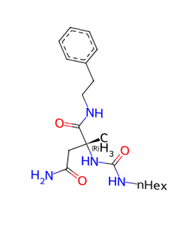 CCCCCCNC(=O)N[C@](C)(CC(N)=O)C(=O)NCCc1ccccc1